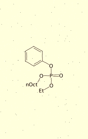 CCCCCCCCOP(=O)(OCC)Oc1ccccc1